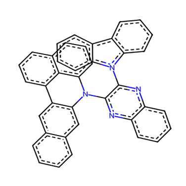 c1ccc2cc3c(cc2c1)-c1cccc2cccc(c12)N3c1nc2ccccc2nc1-n1c2ccccc2c2ccccc21